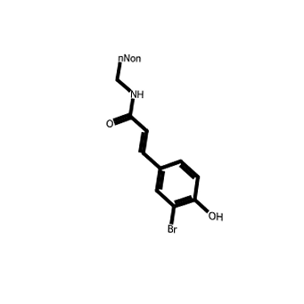 CCCCCCCCCCNC(=O)C=Cc1ccc(O)c(Br)c1